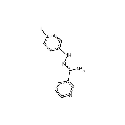 C/C(=N\Nc1ccc(I)cc1)c1cccnc1